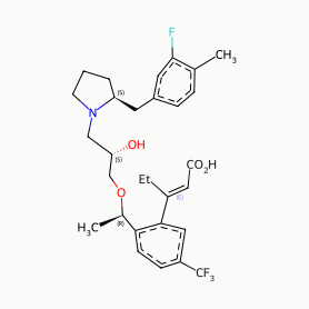 CC/C(=C\C(=O)O)c1cc(C(F)(F)F)ccc1[C@@H](C)OC[C@@H](O)CN1CCC[C@H]1Cc1ccc(C)c(F)c1